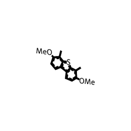 COc1ccc2c(sc3c(C)c(OC)ccc32)c1C